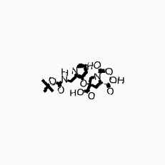 CC(C)(C)OC(=O)NCc1ncccc1O[C@]1(C(=O)O)C[C@@H](C(=O)O)N(C(=O)O)C1